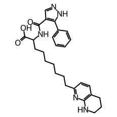 O=C(NC(CCCCCCCc1ccc2c(n1)NCCC2)C(=O)O)c1cn[nH]c1-c1ccccc1